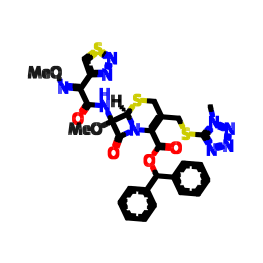 CO/N=C(/C(=O)NC1(OC)C(=O)N2C(C(=O)OC(c3ccccc3)c3ccccc3)=C(CSc3nnnn3C)CS[C@@H]21)c1csnn1